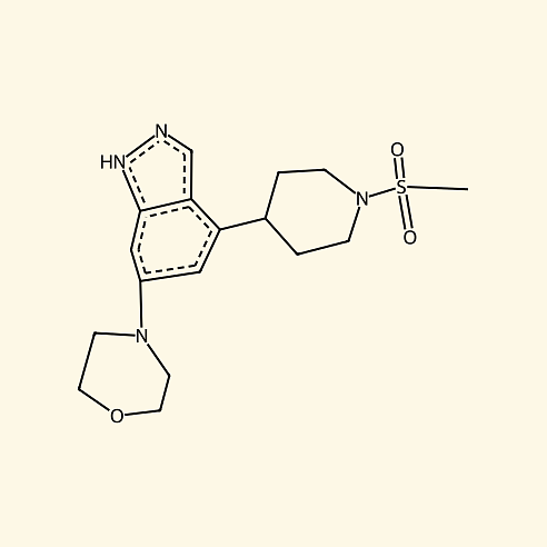 CS(=O)(=O)N1CCC(c2cc(N3CCOCC3)cc3[nH]ncc23)CC1